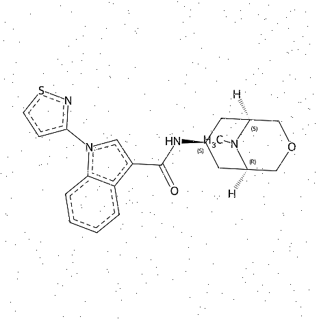 CN1[C@@H]2COC[C@H]1C[C@@H](NC(=O)c1cn(-c3ccsn3)c3ccccc13)C2